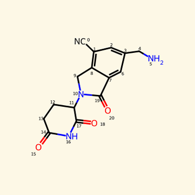 N#Cc1cc(CN)cc2c1CN(C1CCC(=O)NC1=O)C2=O